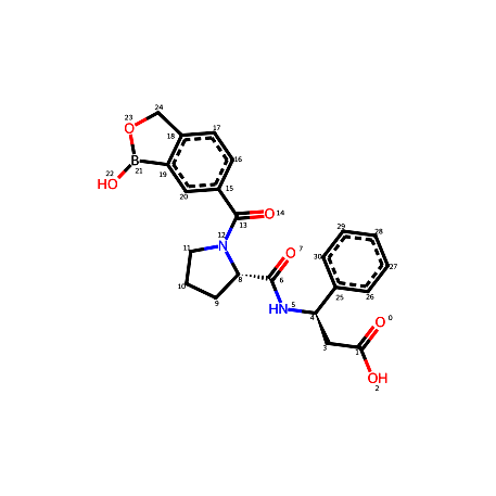 O=C(O)C[C@@H](NC(=O)[C@@H]1CCCN1C(=O)c1ccc2c(c1)B(O)OC2)c1ccccc1